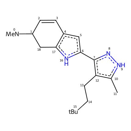 CNC1C=Cc2cc(-c3n[nH]c(C)c3CCC(C)(C)C)[nH]c2C1